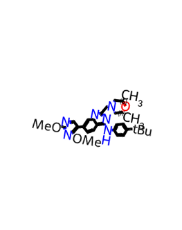 COc1ncc(-c2ccc3c(Nc4ccc(C(C)(C)C)cc4)nc(CN4C[C@@H](C)O[C@@H](C)C4)nc3c2)c(OC)n1